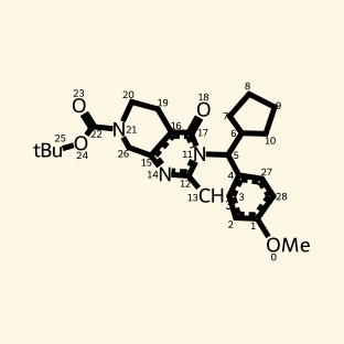 COc1ccc(C(C2CCCC2)n2c(C)nc3c(c2=O)CCN(C(=O)OC(C)(C)C)C3)cc1